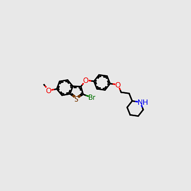 COc1ccc2c(Oc3ccc(OCCC4CCCCN4)cc3)c(Br)sc2c1